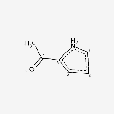 CC(=O)c1[c]cc[nH]1